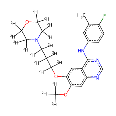 [2H]C([2H])([2H])Oc1cc2ncnc(Nc3ccc(F)c(C)c3)c2cc1OC([2H])([2H])C([2H])([2H])C([2H])([2H])N1C([2H])([2H])C([2H])([2H])OC([2H])([2H])C1([2H])[2H]